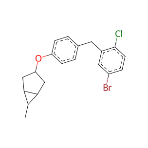 CC1C2CC(Oc3ccc(Cc4cc(Br)ccc4Cl)cc3)CC12